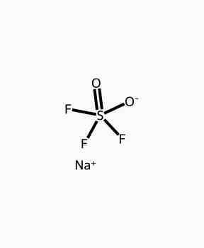 O=S([O-])(F)(F)F.[Na+]